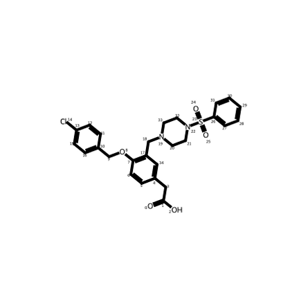 O=C(O)Cc1ccc(OCc2ccc(Cl)cc2)c(CN2CCN(S(=O)(=O)c3ccccc3)CC2)c1